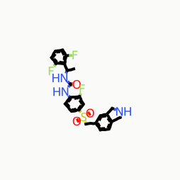 CC(NC(=O)Nc1ccc(S(=O)(=O)Cc2ccc3c(c2)CNC3)cc1F)c1c(F)cccc1F